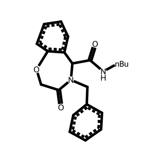 CCCCNC(=O)C1c2ccccc2OCC(=O)N1Cc1ccccc1